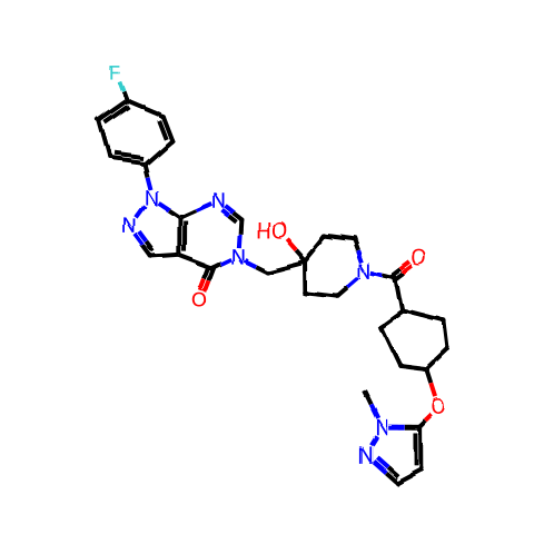 Cn1nccc1OC1CCC(C(=O)N2CCC(O)(Cn3cnc4c(cnn4-c4ccc(F)cc4)c3=O)CC2)CC1